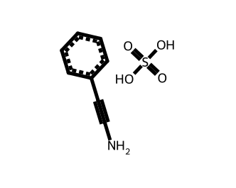 NC#Cc1ccccc1.O=S(=O)(O)O